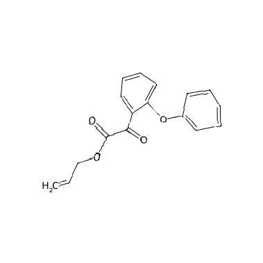 C=CCOC(=O)C(=O)c1ccccc1Oc1ccccc1